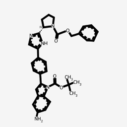 CC(C)(C)OC(=O)n1c(-c2ccc(-c3cnc([C@@H]4CCCN4C(=O)OCc4ccccc4)[nH]3)cc2)cc2cc(N)ccc21